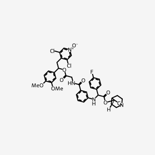 COc1ccc(C(Cc2c(Cl)c[n+]([O-])cc2Cl)OC(=O)CNC(=O)c2cccc(NC(C(=O)O[C@H]3CN4CCC3CC4)c3ccc(F)cc3)c2)cc1OC